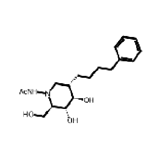 CC(=O)NN1C[C@H](CCCCc2ccccc2)[C@@H](O)[C@H](O)[C@H]1CO